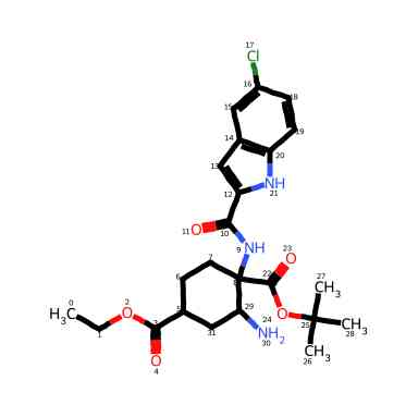 CCOC(=O)C1CCC(NC(=O)c2cc3cc(Cl)ccc3[nH]2)(C(=O)OC(C)(C)C)C(N)C1